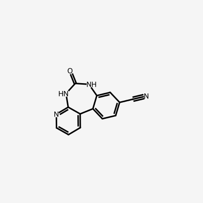 N#Cc1ccc2c(c1)NC(=O)Nc1ncccc1-2